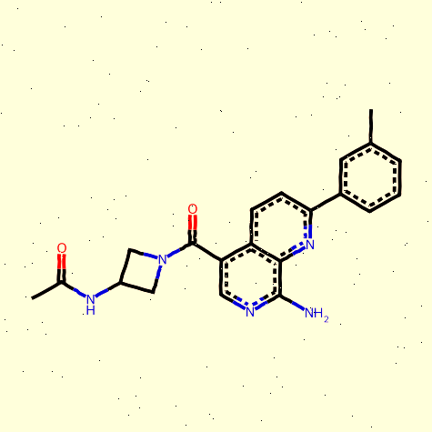 CC(=O)NC1CN(C(=O)c2cnc(N)c3nc(-c4cccc(C)c4)ccc23)C1